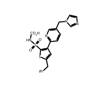 CC(C)Cc1cc(-c2ccc(Cn3ccnc3)cn2)c(S(=O)(=O)NC(=O)O)s1